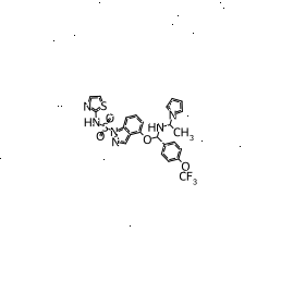 CC(NC(Oc1cccc2c1cnn2S(=O)(=O)Nc1nccs1)c1ccc(OC(F)(F)F)cc1)n1cccc1